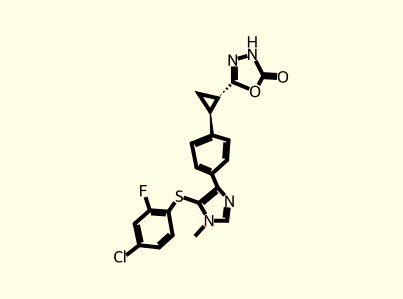 Cn1cnc(-c2ccc([C@H]3C[C@@H]3c3n[nH]c(=O)o3)cc2)c1Sc1ccc(Cl)cc1F